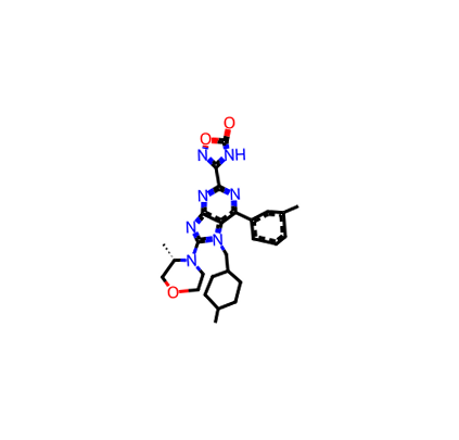 Cc1cccc(-c2nc(-c3noc(=O)[nH]3)nc3nc(N4CCOC[C@@H]4C)n(CC4CCC(C)CC4)c23)c1